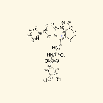 O=C(NC/C=C1\CCCc2cnn(C3CCN(c4ccccn4)CC3)c21)NS(=O)(=O)c1cc(Cl)c(Cl)s1